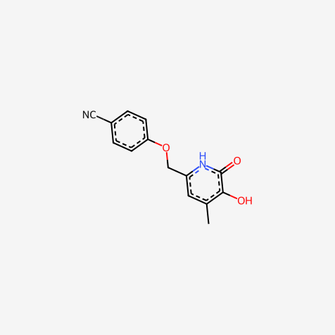 Cc1cc(COc2ccc(C#N)cc2)[nH]c(=O)c1O